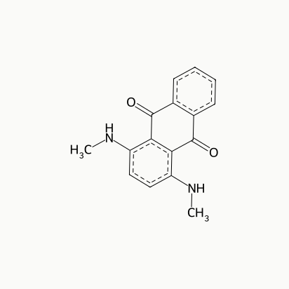 CNc1ccc(NC)c2c1C(=O)c1ccccc1C2=O